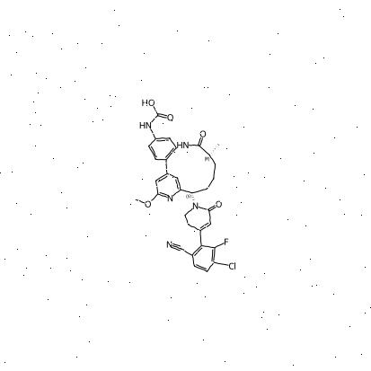 COc1cc2cc(n1)[C@@H](N1CCC(c3c(C#N)ccc(Cl)c3F)=CC1=O)CCC[C@@H](C)C(=O)Nc1cc(NC(=O)O)ccc1-2